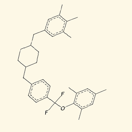 Cc1cc(C)c(OC(F)(F)c2ccc(CC3CCC(Cc4cc(C)c(C)c(C)c4)CC3)cc2)c(C)c1